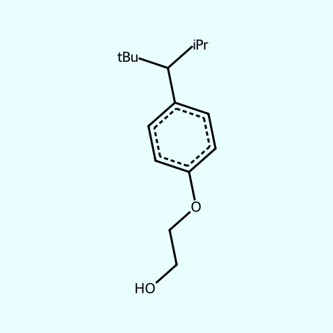 CC(C)C(c1ccc(OCCO)cc1)C(C)(C)C